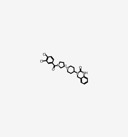 O=C(c1ccc(Cl)c(Cl)c1)N1CC[C@H](N2CCC(N3Cc4ccccc4NC3=O)CC2)C1